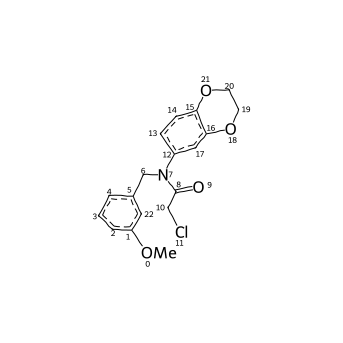 COc1cccc(CN(C(=O)CCl)c2ccc3c(c2)OCCO3)c1